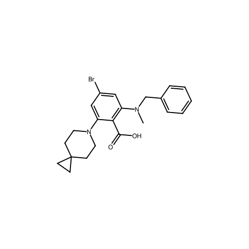 CN(Cc1ccccc1)c1cc(Br)cc(N2CCC3(CC2)CC3)c1C(=O)O